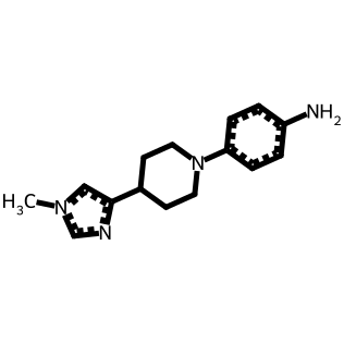 Cn1cnc(C2CCN(c3ccc(N)cc3)CC2)c1